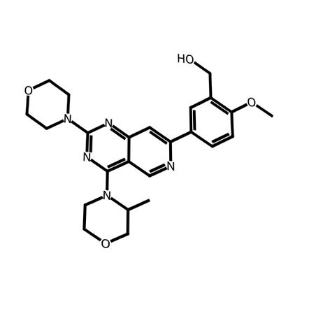 COc1ccc(-c2cc3nc(N4CCOCC4)nc(N4CCOCC4C)c3cn2)cc1CO